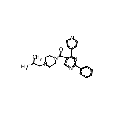 CC(C)CN1CCN(C(=O)c2cnc(-c3ccccc3)nc2-c2ccncc2)CC1